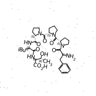 CC[C@H](C)[C@H](NC(=O)[C@@H]1CCCN1C(=O)[C@@H]1CCCN1C(=O)[C@@H]1CCCN1C(=O)[C@@H](N)Cc1ccccc1)C(=O)N[C@H](C(=O)O)[C@@H](C)O